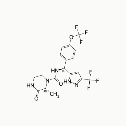 C[C@@H]1C(=O)NCCN1C(=O)N[C@@H](c1ccc(OC(F)(F)F)cc1)c1cc(C(F)(F)F)n[nH]1